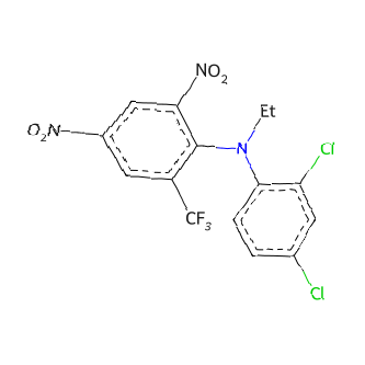 CCN(c1ccc(Cl)cc1Cl)c1c([N+](=O)[O-])cc([N+](=O)[O-])cc1C(F)(F)F